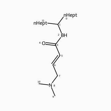 CCCCCCCC(BC(=O)/C=C/CN(C)C)CCCCCCC